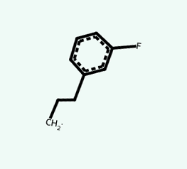 [CH2]CCc1cccc(F)c1